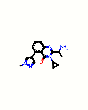 CC(N)c1nc2cccc(-c3cnn(C)c3)c2c(=O)n1C1CC1